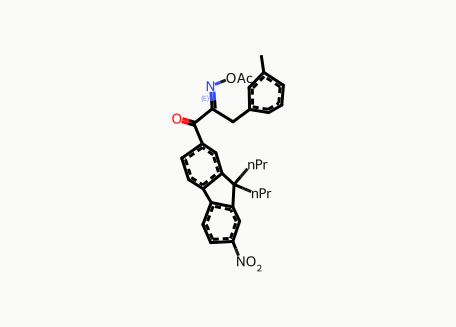 CCCC1(CCC)c2cc(C(=O)/C(Cc3cccc(C)c3)=N/OC(C)=O)ccc2-c2ccc([N+](=O)[O-])cc21